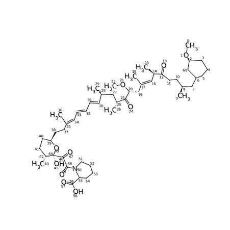 CO[C@H]1CCCC(C[C@@H](C)CCC(=O)[C@H](C)/C=C(\C)C[C@@H](OC)C(=O)[C@H](C)C[C@H](C)/C=C/C=C/C=C(\C)CC[C@@H]2CC[C@@H](C)[C@](O)(C(=O)C(=O)N3CCCCC3C(=O)O)O2)C1